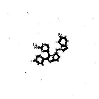 CCNc1nccc(-c2c(-c3ccc(F)cc3)nc3n2[C@H](Cn2ccc4ccc(F)cc42)CC3)n1